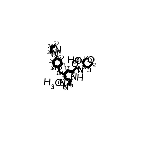 Cn1ncc2nc(C(=O)N[C@H]3CCOC[C@@H]3O)cc(Cc3ccc(-n4cccn4)cc3)c21